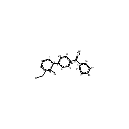 CCc1cccc(-c2ccc(C(=O)c3ccccc3)cc2)c1C